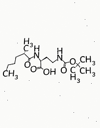 CCCC[C@H](C)C(=O)N[C@@H](CCNC(=O)OC(C)(C)C)C(=O)O